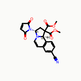 COC(=O)C1(C(=O)OC)C[C@@H](N2C(=O)C=CC2=O)N2C=Cc3cc(C#N)ccc3[C@@H]21